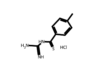 Cc1ccc(C(=S)NC(=N)N)cc1.Cl